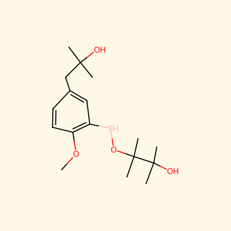 COc1ccc(CC(C)(C)O)cc1BOC(C)(C)C(C)(C)O